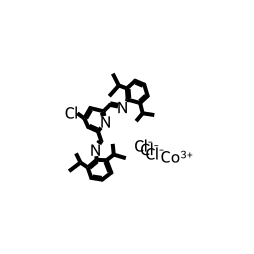 CC(C)c1cccc(C(C)C)c1N=Cc1cc(Cl)cc(C=Nc2c(C(C)C)cccc2C(C)C)n1.[Cl-].[Cl-].[Cl-].[Co+3]